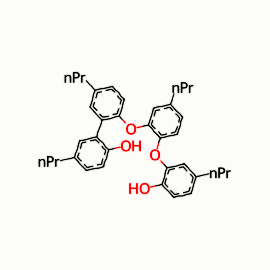 CCCc1ccc(O)c(Oc2ccc(CCC)cc2Oc2ccc(CCC)cc2-c2cc(CCC)ccc2O)c1